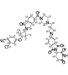 CC1(C)C(Oc2ccc(C#N)c(Cl)c2)C(C)(C)C1N1Cc2cc(C(=O)N3CCN(CC4CN(c5ccc6c(c5)C(=O)N(C5CCC(=O)NC5=O)C6=O)C4)CC3)ccc2C1=O